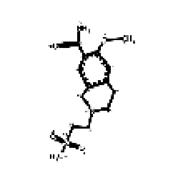 COc1cc2c(cc1C(N)=O)CN(CCS(C)(=O)=O)CC2